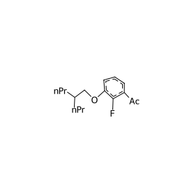 CCCC(CCC)COc1cccc(C(C)=O)c1F